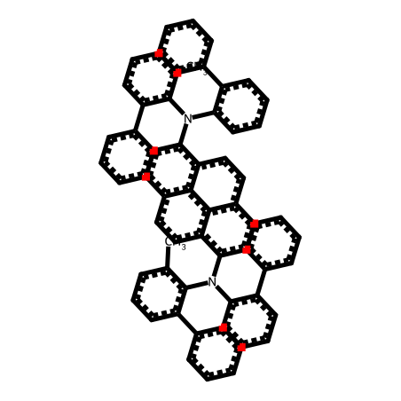 Cc1cccc(-c2ccccc2)c1N(c1ccccc1-c1ccccc1)c1ccc2ccc3c(N(c4ccccc4-c4ccccc4)c4c(C)cccc4-c4ccccc4)ccc4ccc1c2c43